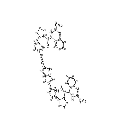 COC(=O)N[C@@H](C(=O)N1CCCC1c1ncc(-c2cn3cc(C#Cc4cnc([C@@H]5CCCN5C(=O)[C@H](NC(=O)OC)c5ccccc5)[nH]4)nc3s2)[nH]1)c1ccccc1